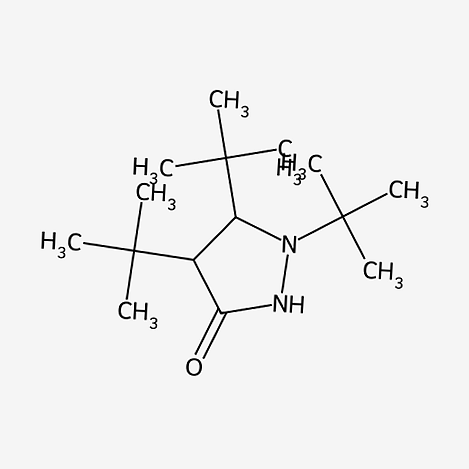 CC(C)(C)C1C(=O)NN(C(C)(C)C)C1C(C)(C)C